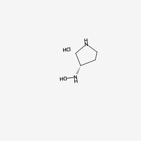 Cl.ON[C@H]1CCNC1